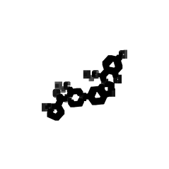 CC1CN(c2ccc3ncn([C@H](C)c4ccc(Cl)cc4Cl)c3c2)CCN1C(=O)C1CCCN1